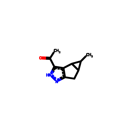 CC(=O)c1[nH]nc2c1C1C(C)C1C2